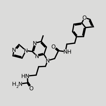 Cc1cc(N(CCCNC(N)=O)CC(=O)NCCc2ccc3occc3c2)nc(-n2ccnc2)n1